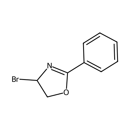 BrC1COC(c2ccccc2)=N1